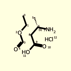 CCOC=O.C[C@H](N)CC(=O)O.Cl